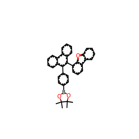 CC1(C)OB(c2ccc(-c3c(-c4cccc5c4oc4ccccc45)c4ccccc4c4ccccc34)cc2)OC1(C)C